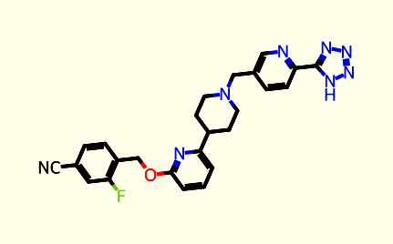 N#Cc1ccc(COc2cccc(C3CCN(Cc4ccc(-c5nnn[nH]5)nc4)CC3)n2)c(F)c1